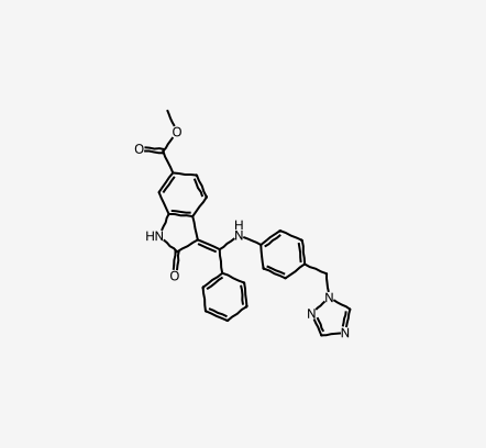 COC(=O)c1ccc2c(c1)NC(=O)C2=C(Nc1ccc(Cn2cncn2)cc1)c1ccccc1